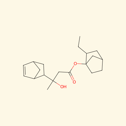 CCC1CC2CCC1(OC(=O)CC(C)(O)C1CC3C=CC1C3)C2